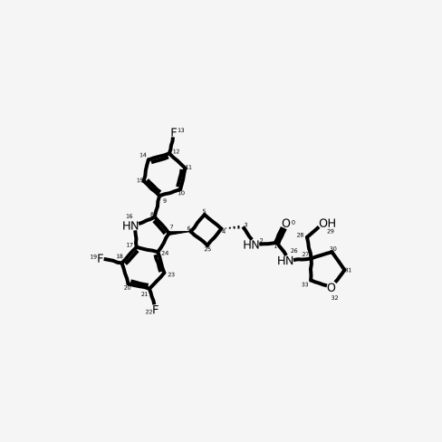 O=C(NC[C@H]1C[C@H](c2c(-c3ccc(F)cc3)[nH]c3c(F)cc(F)cc32)C1)NC1(CO)CCOC1